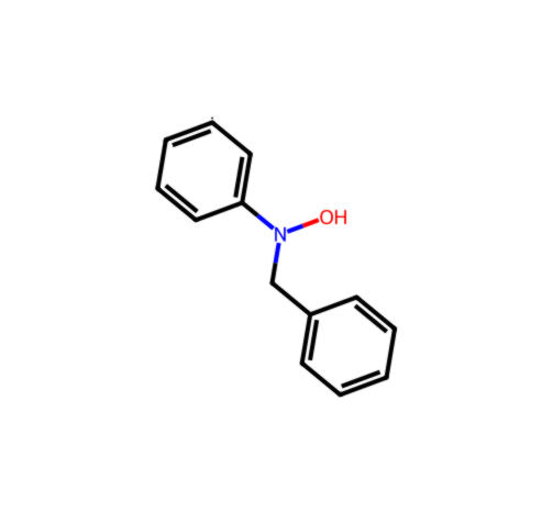 ON(Cc1ccccc1)c1c[c]ccc1